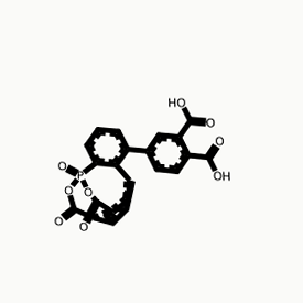 O=C(O)c1ccc(-c2cccc3c2-c2ccc4c(c2)C(=O)OP3(=O)OC4=O)cc1C(=O)O